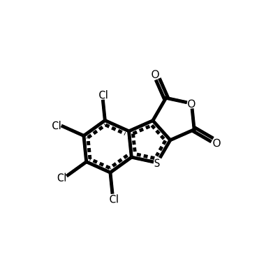 O=C1OC(=O)c2c1sc1c(Cl)c(Cl)c(Cl)c(Cl)c21